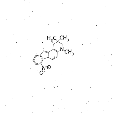 CN1CC(C)(C)CC2=C1C=CC1C2=Cc2cccc([N+](=O)[O-])c21